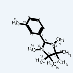 CC1(C)N(O)C(c2cccc(O)c2)N(O)C1(C)C